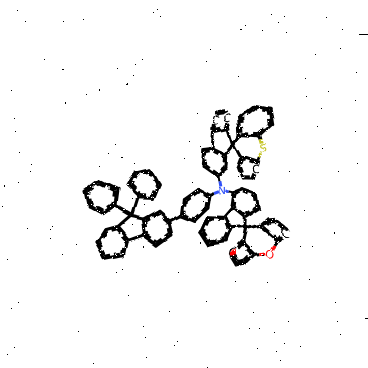 c1ccc(C2(c3ccccc3)c3ccccc3-c3ccc(-c4ccc(N(c5ccc6c(c5)C5(c7ccccc7Sc7ccccc75)c5ccccc5-6)c5cccc6c5-c5ccccc5C65c6ccccc6Oc6ccccc65)cc4)cc32)cc1